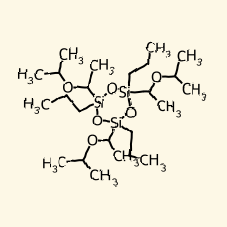 CCC[Si]1(C(C)OC(C)C)O[Si](CCC)(C(C)OC(C)C)O[Si](CCC)(C(C)OC(C)C)O1